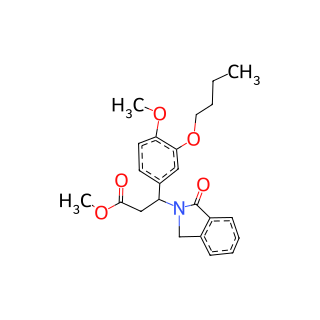 CCCCOc1cc(C(CC(=O)OC)N2Cc3ccccc3C2=O)ccc1OC